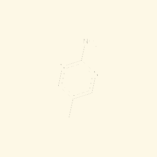 Cc1cnc([N+](=O)[O-])nc1